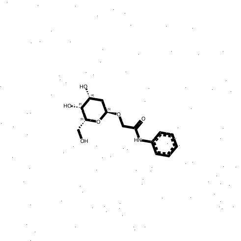 O=C(CO[C@@H]1C[C@@H](O)[C@@H](O)[C@@H](CO)O1)Nc1ccccc1